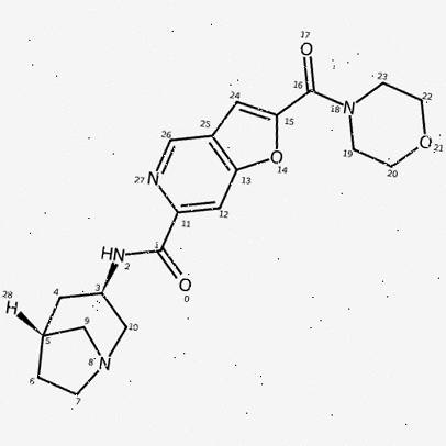 O=C(N[C@@H]1C[C@H]2CCN(C2)C1)c1cc2oc(C(=O)N3CCOCC3)cc2cn1